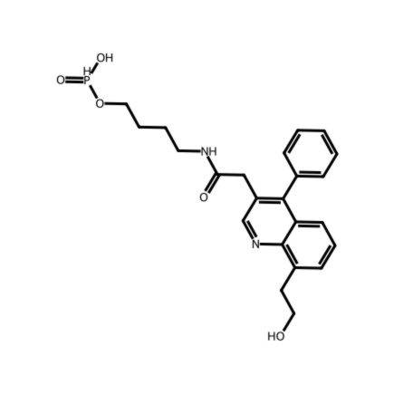 O=C(Cc1cnc2c(CCO)cccc2c1-c1ccccc1)NCCCCO[PH](=O)O